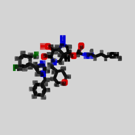 CCCCCNC(=O)O[C@@H]1CNC2[C@H](O)C(=O)N([C@@H](c3nc(-c4cc(F)ccc4F)cn3Cc3ccccc3)C3CCOCC3)C[C@H]21